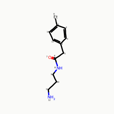 CCc1ccc(CC(=O)NCCCN)cc1